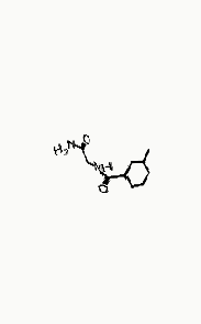 CC1CCCC(C(=O)NCC(N)=O)C1